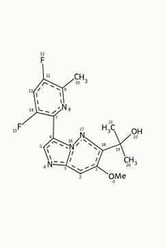 COc1cc2ncc(-c3nc(C)c(F)cc3F)n2nc1C(C)(C)O